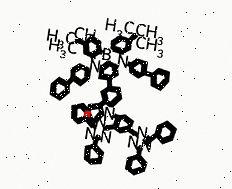 CC(C)(C)c1ccc2c(c1)N(c1ccc(-c3ccccc3)cc1)c1cc(-c3ccc4c(c3)c3ccccc3n4-c3ccc(-c4nc(-c5ccccc5)nc(-c5ccccc5)n4)cc3-c3nc(-c4ccccc4)nc(-c4ccccc4)n3)cc3c1B2c1ccc(C(C)(C)C)cc1N3c1ccc(-c2ccccc2)cc1